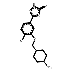 N[C@H]1CC[C@@H](COc2cc(-c3n[nH]c(=O)o3)ccc2Cl)CC1